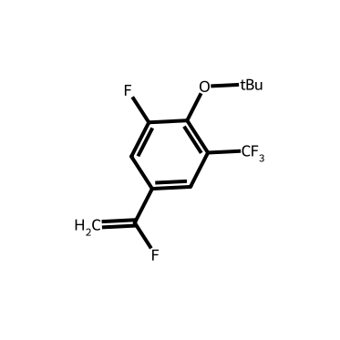 C=C(F)c1cc(F)c(OC(C)(C)C)c(C(F)(F)F)c1